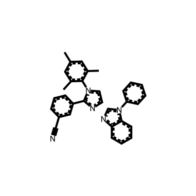 Cc1cc(C)c(-n2ccnc2-c2cccc(C#N)c2)c(C)c1.c1ccc(-n2cnc3ccccc32)cc1